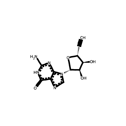 C#C[C@H]1O[C@@H](n2cnc3c(=O)[nH]c(N)nc32)[C@H](O)[C@@H]1O